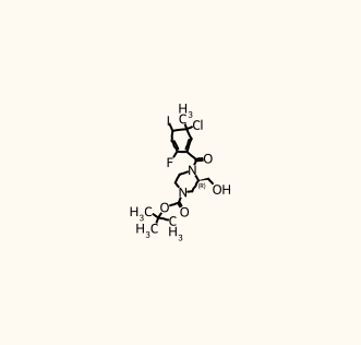 CC(C)(C)OC(=O)N1CCN(C(=O)C2=CC(C)(Cl)C(I)C=C2F)[C@@H](CO)C1